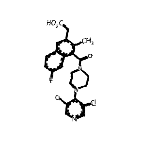 Cc1c(CC(=O)O)cc2ccc(F)cc2c1C(=O)N1CCN(c2c(Cl)cncc2Cl)CC1